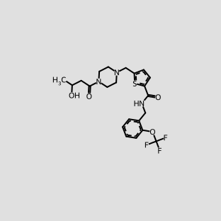 CC(O)CC(=O)N1CCN(Cc2ccc(C(=O)NCc3ccccc3OC(F)(F)F)s2)CC1